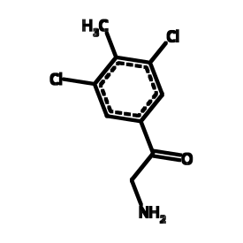 Cc1c(Cl)cc(C(=O)CN)cc1Cl